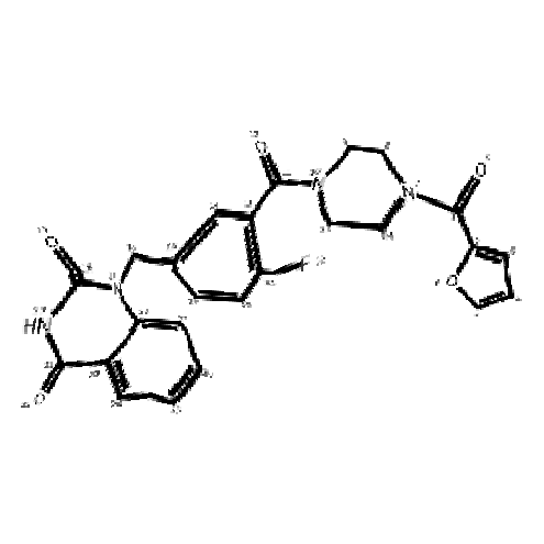 O=C(c1ccco1)N1CCN(C(=O)c2cc(Cn3c(=O)[nH]c(=O)c4ccccc43)ccc2F)CC1